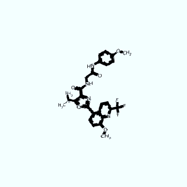 COc1ccc(NC(=O)CNC(=O)c2nc(-c3ccc(OC)c4nc(C(F)(F)F)ccc34)oc2[C@H](C)N)cc1